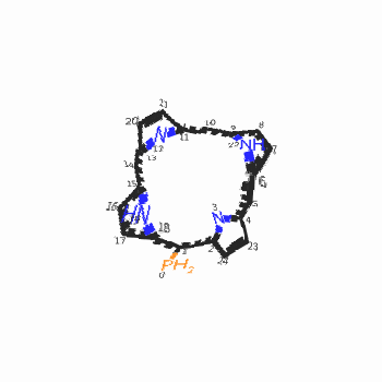 Pc1c2nc(cc3ccc(cc4nc(cc5ccc1[nH]5)C=C4)[nH]3)C=C2